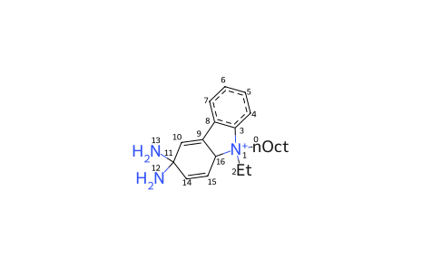 CCCCCCCC[N+]1(CC)c2ccccc2C2=CC(N)(N)C=CC21